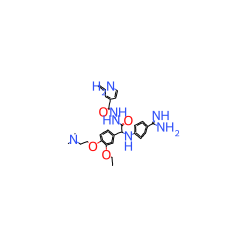 C=C/C=C(\C=C/N)C(=O)NNC(=O)C(Nc1ccc(C(=N)N)cc1)c1ccc(OCCN(C)C)c(OCC)c1